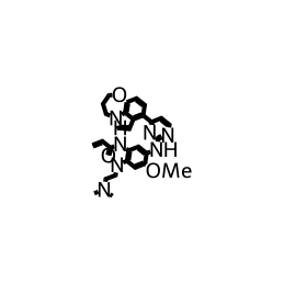 C=CC(=O)Nc1cc(Nc2nccc(-c3ccc4c5c3ccn5CCCO4)n2)c(OC)cc1N(C)CCN(C)C